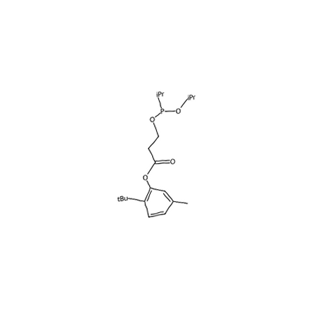 Cc1ccc(C(C)(C)C)c(OC(=O)CCOP(OC(C)C)C(C)C)c1